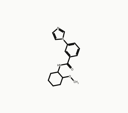 COC1CCCCC1NC(=O)c1cccc(-n2ccnc2)c1